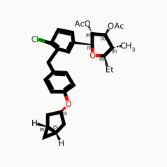 CC[C@H]1O[C@@H](c2ccc(Cl)c(Cc3ccc(O[C@H]4C[C@@H]5C[C@@H]5C4)cc3)c2)[C@H](OC(C)=O)[C@@H](OC(C)=O)[C@@H]1C